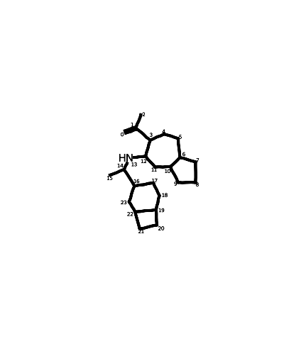 C=C(C)C1CCC2CCCC2CC1NC(C)C1CCC2CCC2C1